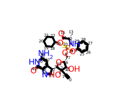 C#C[C@@]1(O)[C@H](O)[C@@H](COP(=S)(N[C@@H](C)C(=O)OC2CCCCC2)Oc2ccccc2)O[C@H]1C1C=Nc2c1cc(N)[nH]c2=O